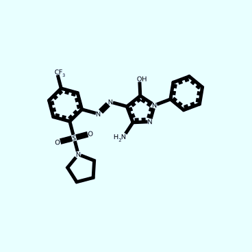 Nc1nn(-c2ccccc2)c(O)c1/N=N/c1cc(C(F)(F)F)ccc1S(=O)(=O)N1CCCC1